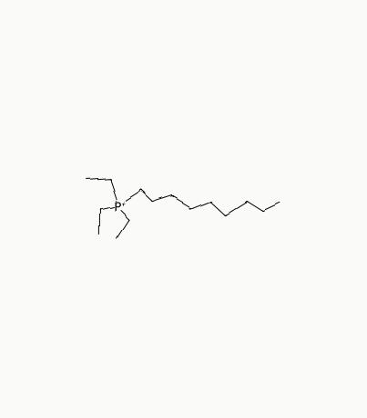 CCCCCCCCC[P+](CC)(CC)CC